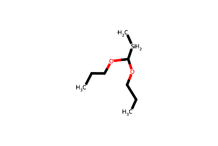 [CH2][SiH2]C(OCCC)OCCC